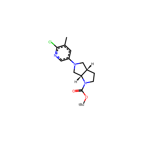 Cc1cc(N2C[C@@H]3CCN(C(=O)OC(C)(C)C)[C@@H]3C2)cnc1Cl